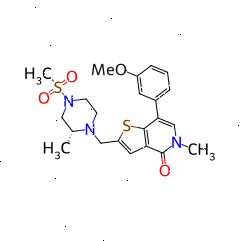 COc1cccc(-c2cn(C)c(=O)c3cc(CN4CCN(S(C)(=O)=O)C[C@H]4C)sc23)c1